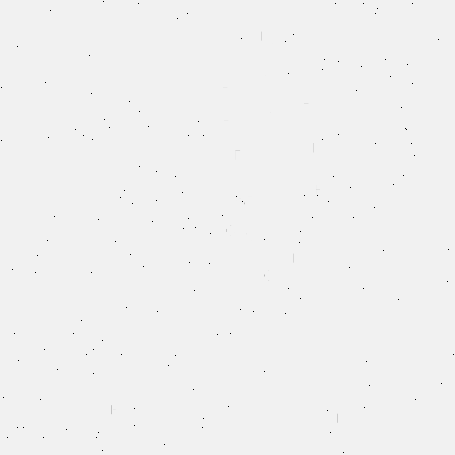 O=S(=O)(OS(c1ccccc1)(c1ccc(F)cc1)c1ccc(F)cc1)C(F)(F)C(F)(F)C(F)(F)C(F)(F)C(F)(F)C(F)(F)F